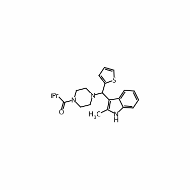 Cc1[nH]c2ccccc2c1C(c1cccs1)N1CCN(C(=O)C(C)C)CC1